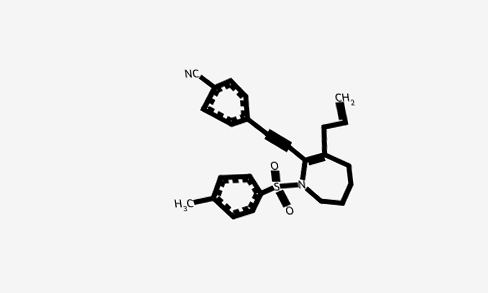 C=CCC1=C(C#Cc2ccc(C#N)cc2)N(S(=O)(=O)c2ccc(C)cc2)CCCC1